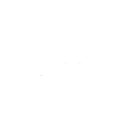 Cc1cccc(C)c1-c1cc(OC[C@@H](CC(C)(C)O)NC2CC3(CC3)C2)nc(NS(=O)(=O)c2cccc(C(=O)O)c2)n1